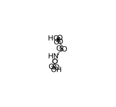 O=S(=O)(CCCNc1ccc(S(=O)(=O)O)cc1)CCOS(=O)(=O)O